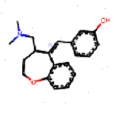 CN(C)CC1CCOc2ccccc2/C1=C\c1cccc(O)c1